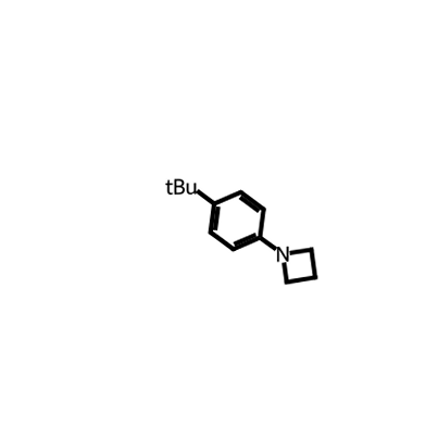 CC(C)(C)c1ccc(N2CCC2)cc1